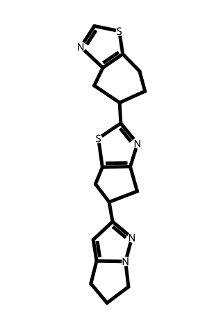 c1nc2c(s1)CCC(c1nc3c(s1)CC(c1cc4n(n1)CCC4)C3)C2